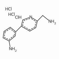 Cl.Cl.Cl.NCc1ccc(-c2cccc(N)c2)cn1